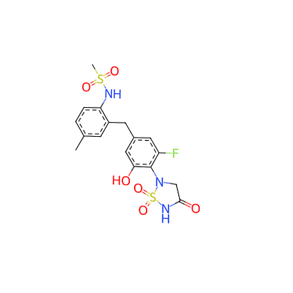 Cc1ccc(NS(C)(=O)=O)c(Cc2cc(O)c(N3CC(=O)NS3(=O)=O)c(F)c2)c1